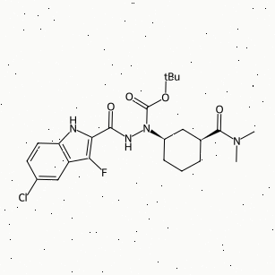 CN(C)C(=O)[C@H]1CCC[C@@H](N(NC(=O)c2[nH]c3ccc(Cl)cc3c2F)C(=O)OC(C)(C)C)C1